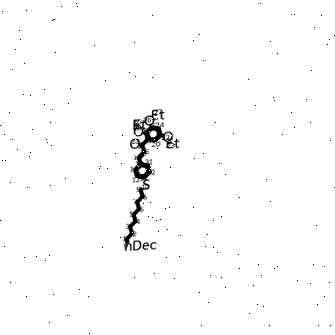 CCCCCCCCCCCCCCCCCCCSc1ccc(C=CC(=O)c2cc(OCC)cc(OCC)c2OCC)cc1